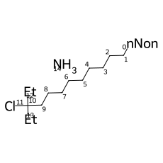 CCCCCCCCCCCCCCCCCCC(Cl)(CC)CC.N